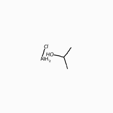 CC(C)O.[AlH2][Cl]